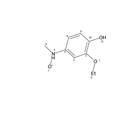 CCOc1cc([NH+](C)[O-])ccc1O